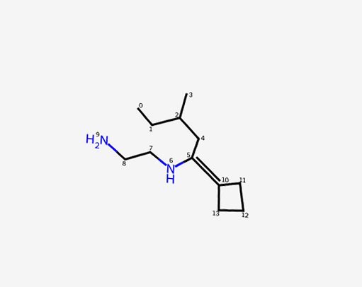 CCC(C)CC(NCCN)=C1CCC1